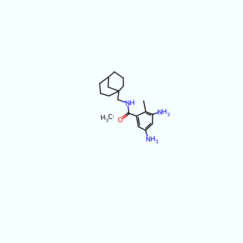 Cc1c(N)cc(N)cc1C(=O)NCC12CCCC(CCC1)C2.[CH2]